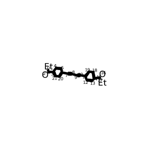 CCC(=O)c1ccc(C#CC#Cc2ccc(C(=O)CC)cc2)cc1